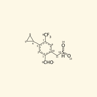 O=[C]c1cc(C2CC2)c(C(F)(F)F)cc1C[SH](=O)=O